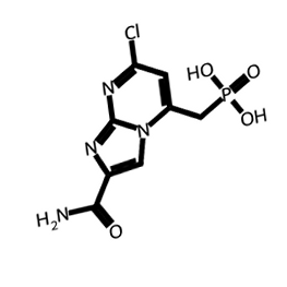 NC(=O)c1cn2c(CP(=O)(O)O)cc(Cl)nc2n1